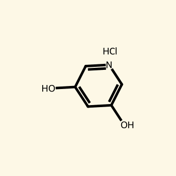 Cl.Oc1cncc(O)c1